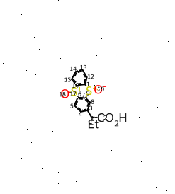 CCC(C(=O)O)c1ccc2c(c1)[S+]([O-])c1ccccc1[S+]2[O-]